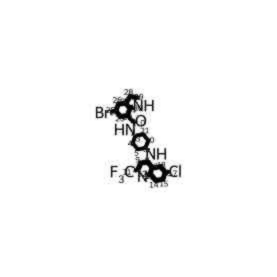 O=C(NC1CCC(Nc2cc(C(F)(F)F)nc3ccc(Cl)cc23)CC1)c1cc(Br)cc2cc[nH]c12